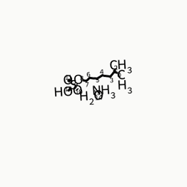 CC(C)CCCCCOS(=O)(=O)O.N.O